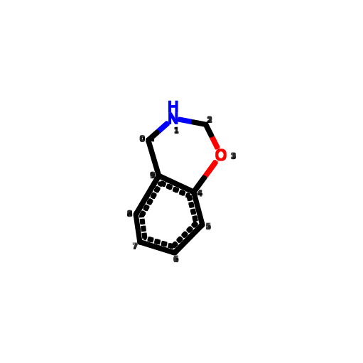 [CH]1NCOc2ccccc21